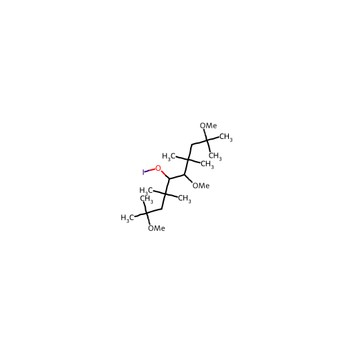 COC(C(OI)C(C)(C)CC(C)(C)OC)C(C)(C)CC(C)(C)OC